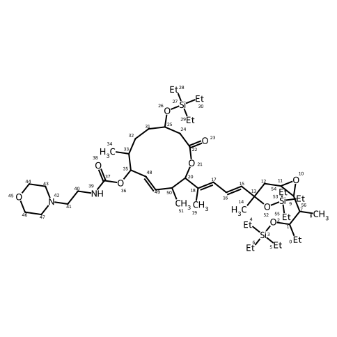 CCC(O[Si](CC)(CC)CC)C(C)C1OC1CC(C)(/C=C/C=C(\C)C1OC(=O)CC(O[Si](CC)(CC)CC)CCC(C)C(OC(=O)NCCN2CCOCC2)/C=C/C1C)O[Si](CC)(CC)CC